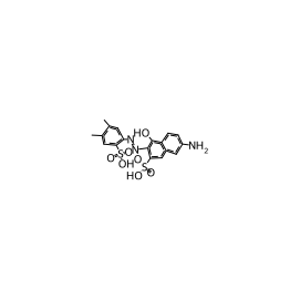 Cc1cc(N=Nc2c(S(=O)(=O)O)cc3cc(N)ccc3c2O)c(S(=O)(=O)O)cc1C